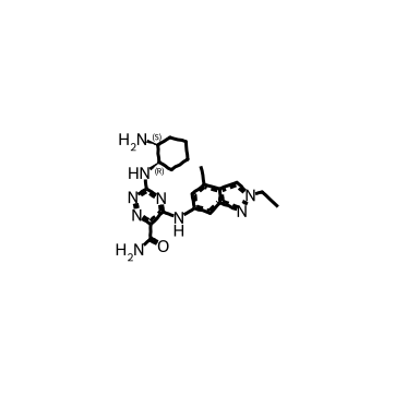 CCn1cc2c(C)cc(Nc3nc(N[C@@H]4CCCC[C@@H]4N)nnc3C(N)=O)cc2n1